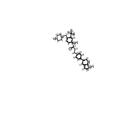 CN1CCN(Cc2ccc(NC(=O)CCc3ccc(-c4cnc5[nH]ccc5c4)cc3)cc2C(F)(F)F)CC1